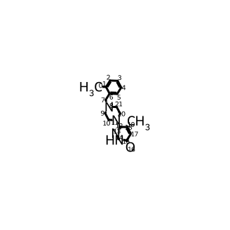 Cc1ccccc1CN1CCN(c2n[nH]c(=O)cc2C)CC1